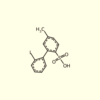 Cc1ccc(S(=O)(=O)O)c(-c2ccccc2I)c1